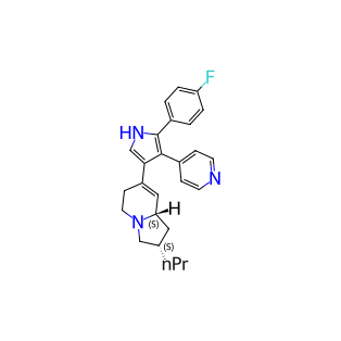 CCC[C@H]1C[C@H]2C=C(c3c[nH]c(-c4ccc(F)cc4)c3-c3ccncc3)CCN2C1